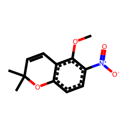 COc1c([N+](=O)[O-])ccc2c1C=CC(C)(C)O2